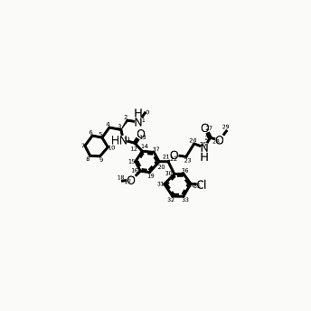 CNC[C@H](CC1CCCCC1)NC(=O)c1cc(OC)cc([C@H](OCCNC(=O)OC)c2cccc(Cl)c2)c1